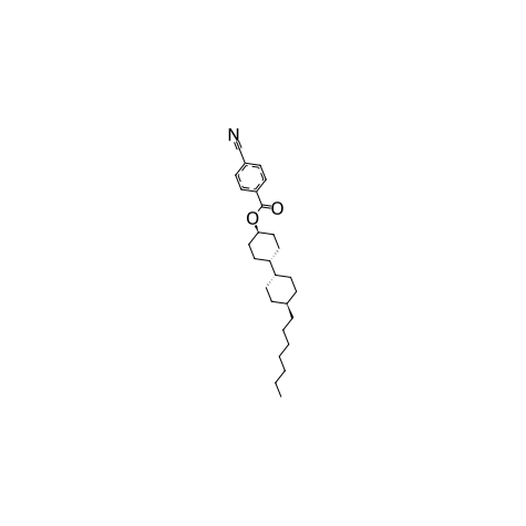 CCCCCCC[C@H]1CC[C@H]([C@H]2CC[C@H](OC(=O)c3ccc(C#N)cc3)CC2)CC1